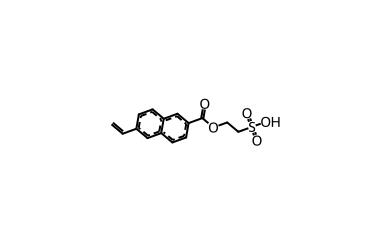 C=Cc1ccc2cc(C(=O)OCCS(=O)(=O)O)ccc2c1